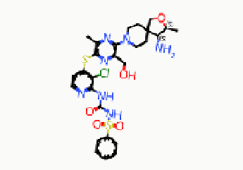 Cc1nc(N2CCC3(CC2)CO[C@@H](C)[C@H]3N)c(CO)nc1Sc1ccnc(NC(=O)NS(=O)(=O)c2ccccc2)c1Cl